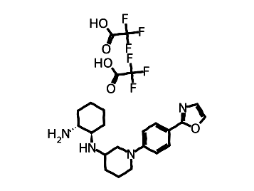 N[C@@H]1CCCC[C@H]1NC1CCCN(c2ccc(-c3ncco3)cc2)C1.O=C(O)C(F)(F)F.O=C(O)C(F)(F)F